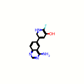 Nc1ncnc2ccc(C3=CC(O)=C(F)NC3)cc12